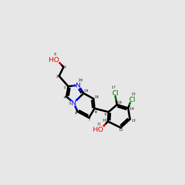 OCCc1cn2ccc(-c3c(O)ccc(Cl)c3Cl)cc2n1